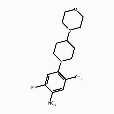 Cc1cc([N+](=O)[O-])c(C(C)C)cc1N1CCC(N2CCOCC2)CC1